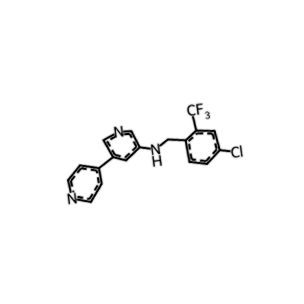 FC(F)(F)c1cc(Cl)ccc1CNc1cncc(-c2ccncc2)c1